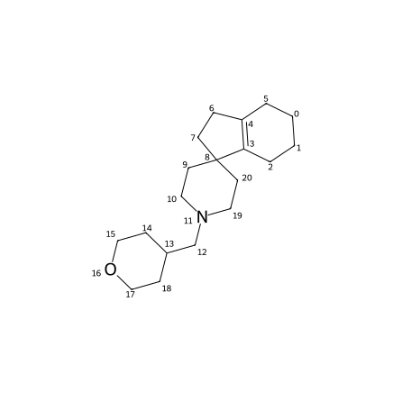 C1CCC2=C(C1)CCC21CCN(CC2CCOCC2)CC1